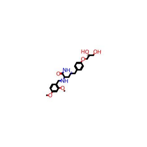 COc1ccc(CNC(CCCc2ccc(OC[C@H](O)CO)cc2)C(N)=O)c(OC)c1